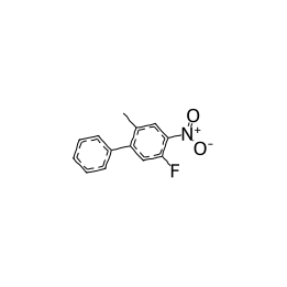 Cc1cc([N+](=O)[O-])c(F)cc1-c1ccccc1